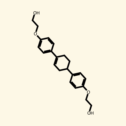 OCCOc1ccc(C2=CCC(c3ccc(OCCO)cc3)CC2)cc1